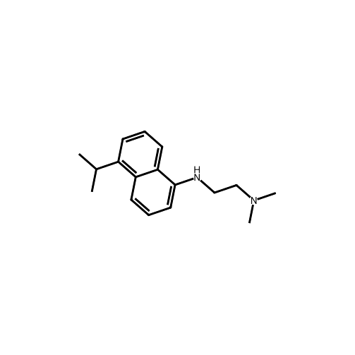 CC(C)c1cccc2c(NCCN(C)C)cccc12